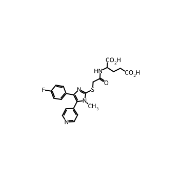 Cn1c(SCC(=O)NC(CCC(=O)O)C(=O)O)nc(-c2ccc(F)cc2)c1-c1ccncc1